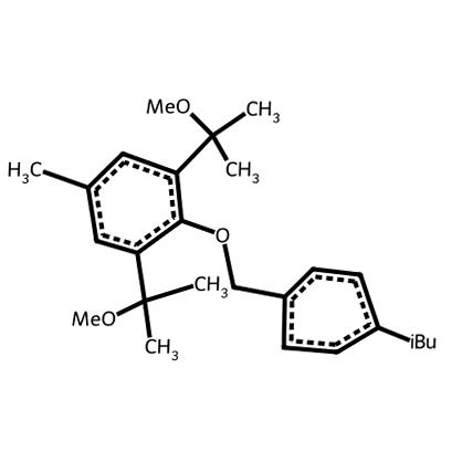 CCC(C)c1ccc(COc2c(C(C)(C)OC)cc(C)cc2C(C)(C)OC)cc1